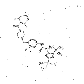 CC(C)(C)c1cc(NC(=O)Nc2ccc(CN3CCN(C(=O)c4c(F)cccc4F)CC3)c(F)c2)n(C(C)(C)C)n1